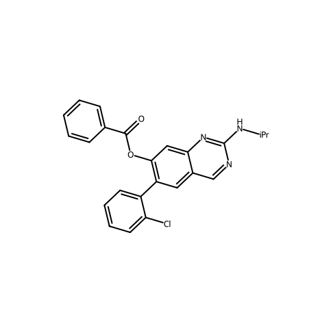 CC(C)Nc1ncc2cc(-c3ccccc3Cl)c(OC(=O)c3ccccc3)cc2n1